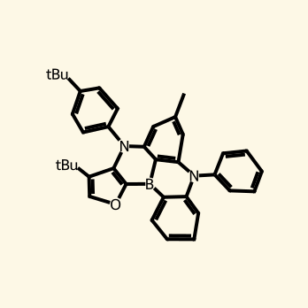 Cc1cc2c3c(c1)N(c1ccc(C(C)(C)C)cc1)c1c(C(C)(C)C)coc1B3c1ccccc1N2c1ccccc1